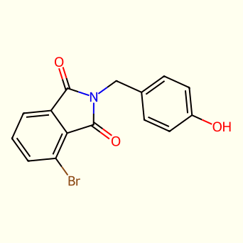 O=C1c2cccc(Br)c2C(=O)N1Cc1ccc(O)cc1